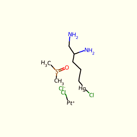 CS(C)=O.NCC(N)CC[CH2][Hg][Cl].[Cl-].[Cl][Pt+]